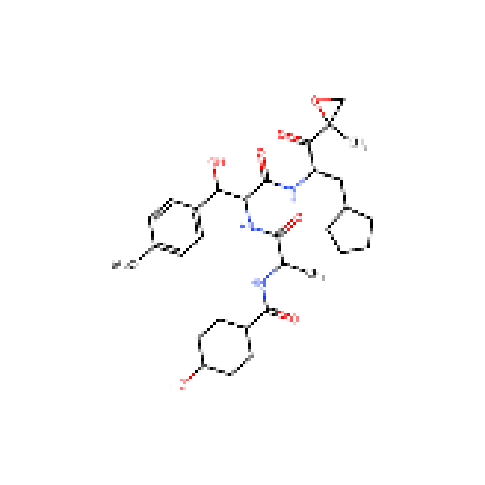 COc1ccc(C(O)C(NC(=O)C(C)NC(=O)C2CCC(O)CC2)C(=O)NC(CC2CCCC2)C(=O)C2(C)CO2)cc1